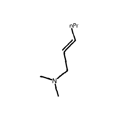 CCCC=CCN(C)C